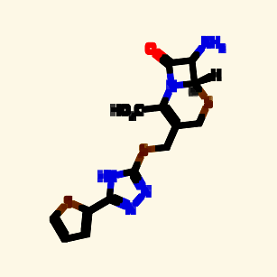 NC1C(=O)N2C(C(=O)O)=C(CSc3nnc(-c4cccs4)[nH]3)CS[C@@H]12